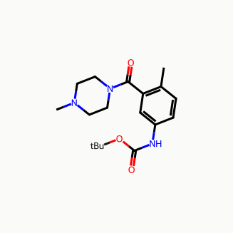 Cc1ccc(NC(=O)OC(C)(C)C)cc1C(=O)N1CCN(C)CC1